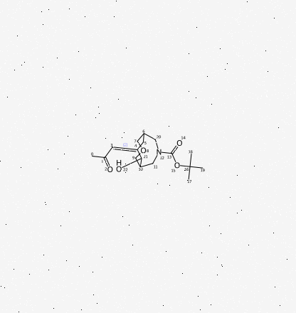 CC(=O)/C=C1/CC2COCC(CN(C(=O)OC(C)(C)C)C2)C1O